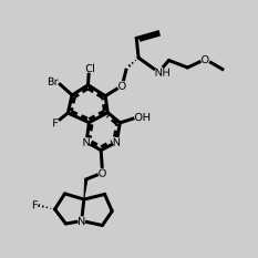 C=C[C@@H](COc1c(Cl)c(Br)c(F)c2nc(OC[C@@]34CCCN3C[C@H](F)C4)nc(O)c12)NCCOC